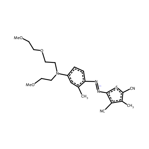 COCCOCCN(CCOC)c1ccc(/N=N/c2sc(C#N)c(C)c2C#N)c(C)c1